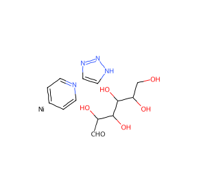 O=CC(O)C(O)C(O)C(O)CO.[Ni].c1c[nH]nn1.c1ccncc1